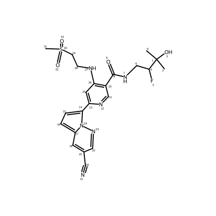 CC(C)(O)C(F)CNC(=O)c1cnc(-c2ccc3cc(C#N)cnn23)cc1NCCS(C)(=O)=O